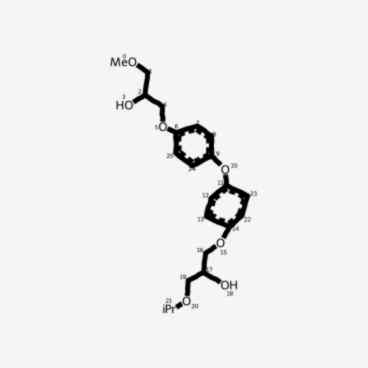 COCC(O)COc1ccc(Oc2ccc(OCC(O)COC(C)C)cc2)cc1